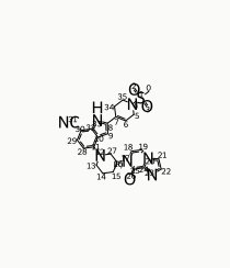 CS(=O)(=O)N1CC=C(c2cc3c(N4CCC[C@@H](n5ccn6ccnc6c5=O)C4)ccc(C#N)c3[nH]2)CC1